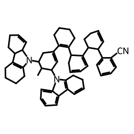 CC1C(N2C3=C(CCCC3)C3CCC=CC32)CC(C2=C(C3CC=CC=C3C3CCC=CC3c3ccccc3C#N)CCCC2)=CC1n1c2c(c3ccccc31)C=CCC2